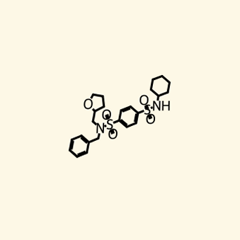 O=S(=O)(NC1CCCCC1)c1ccc(S(=O)(=O)N(Cc2ccccc2)CC2CCCO2)cc1